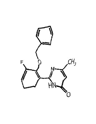 Cc1cc(=O)[nH]c(C2=C(OCc3ccccc3)C(F)=CCC2)n1